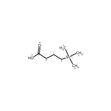 [CH3][Sn]([CH3])([CH3])[CH2]CCC(=O)O